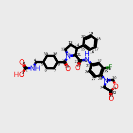 O=C(O)NCC1CCC(C(=O)N2CCC(c3ccccc3)C2C(=O)Nc2ccc(N3COC(=O)C3)c(F)c2)CC1